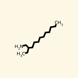 CCCCCCCCCCC(CC)CN